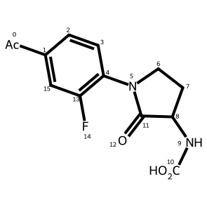 CC(=O)c1ccc(N2CCC(NC(=O)O)C2=O)c(F)c1